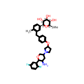 CS[C@H]1O[C@@H](c2ccc(C)c(Cc3ccc(OC4CCN(C5COC(c6cc(F)ccc6F)C(N)C5)C4)cc3)c2)[C@H](O)[C@@H](O)[C@@H]1O